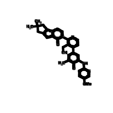 COc1ccc(Nc2cc(-c3ccnc(-n4ccn5c6c(cc5c4=O)CC(C)(C)C6)c3CO)cn(C)c2=O)nc1